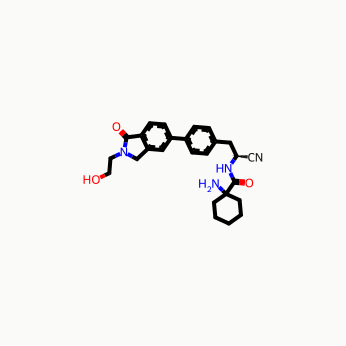 N#C[C@H](Cc1ccc(-c2ccc3c(c2)CN(CCO)C3=O)cc1)NC(=O)C1(N)CCCCC1